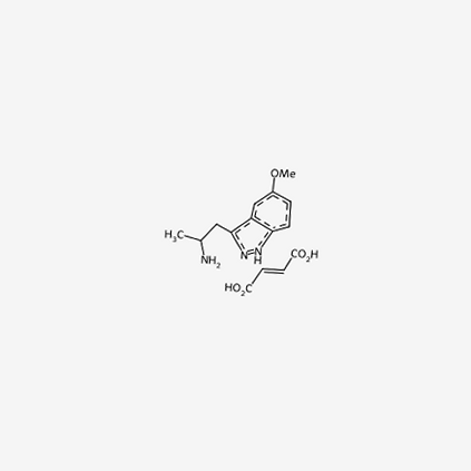 COc1ccc2[nH]nc(CC(C)N)c2c1.O=C(O)C=CC(=O)O